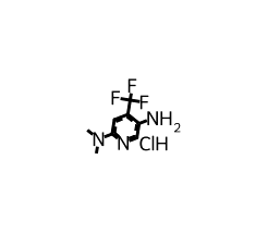 CN(C)c1cc(C(F)(F)F)c(N)cn1.Cl